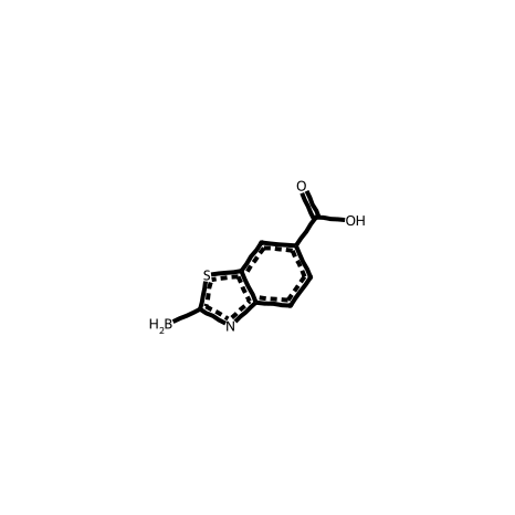 Bc1nc2ccc(C(=O)O)cc2s1